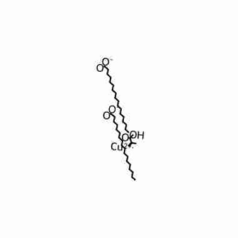 C=C(C)C(=O)O.CCCCCCCCCCCCCCCCCC(=O)[O-].CCCCCCCCCCCCCCCCCC(=O)[O-].[Cu+2]